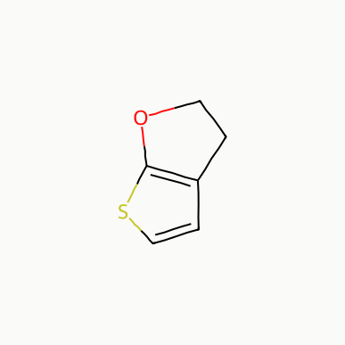 c1cc2c(s1)OCC2